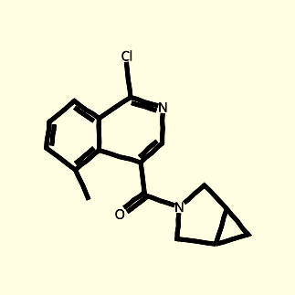 Cc1cccc2c(Cl)ncc(C(=O)N3CC4CC4C3)c12